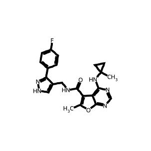 Cc1oc2ncnc(NC3(C)CC3)c2c1C(=O)NCc1c[nH]nc1-c1ccc(F)cc1